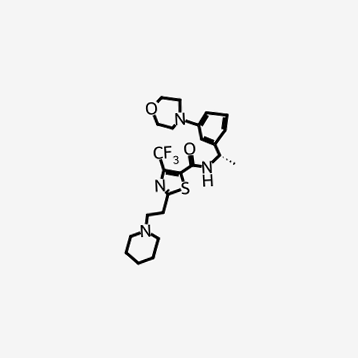 C[C@H](NC(=O)c1sc(CCN2CCCCC2)nc1C(F)(F)F)c1cccc(N2CCOCC2)c1